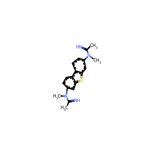 CC(=N)N(C)c1ccc2c(c1)sc1cc(N(C)C(C)=N)ccc12